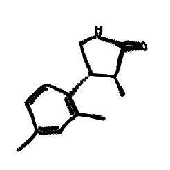 Cc1ccc([C@@H]2CNC(=O)[C@H]2C)c(C)c1